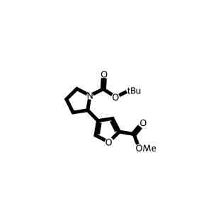 COC(=O)c1cc(C2CCCN2C(=O)OC(C)(C)C)co1